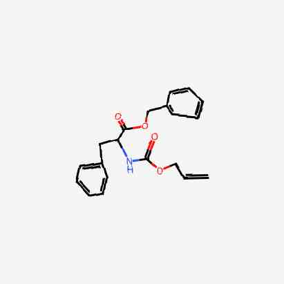 C=CCOC(=O)NC(Cc1ccccc1)C(=O)OCc1ccccc1